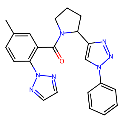 Cc1ccc(-n2nccn2)c(C(=O)N2CCCC2c2cn(-c3ccccc3)nn2)c1